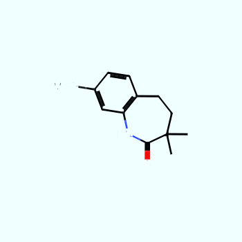 COc1ccc2c(c1)NC(=O)C(C)(C)CC2